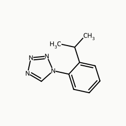 CC(C)c1ccccc1-n1cnnn1